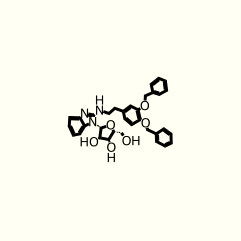 OC[C@H]1O[C@@H](n2c(NCCc3ccc(OCc4ccccc4)c(OCc4ccccc4)c3)nc3ccccc32)[C@H](O)[C@@H]1O